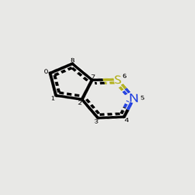 c1cc2ccnsc-2c1